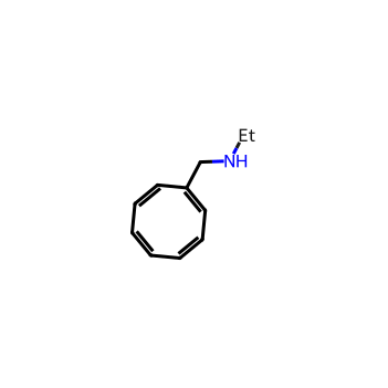 CCNCC1=C/C=C\C=C/C=C\1